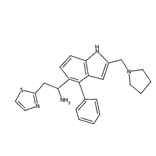 NC(Cc1nccs1)c1ccc2[nH]c(CN3CCCC3)cc2c1-c1ccccc1